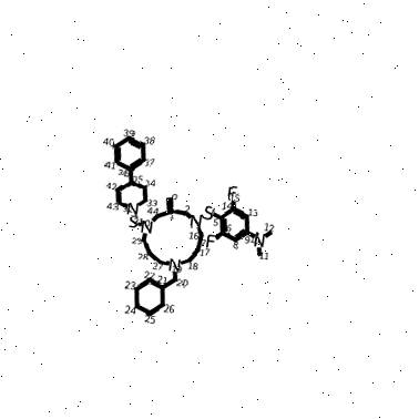 C=C1CN(Sc2c(F)cc(N(C)C)cc2F)CCCN(CC2CCCCC2)CCCN(SN2CCC(c3ccccc3)CC2)C1